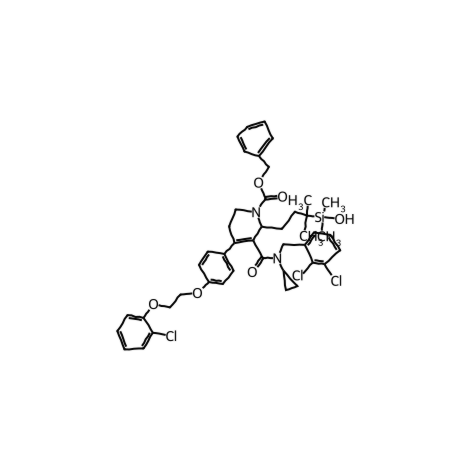 CC(C)(CCC1C(C(=O)N(Cc2cccc(Cl)c2Cl)C2CC2)=C(c2ccc(OCCOc3ccccc3Cl)cc2)CCN1C(=O)OCc1ccccc1)[Si](C)(C)O